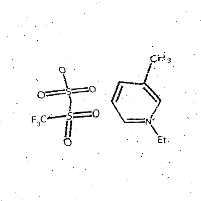 CC[n+]1cccc(C)c1.O=S(=O)([O-])S(=O)(=O)C(F)(F)F